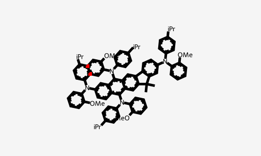 COc1ccccc1N(c1ccc(C(C)C)cc1)c1ccc2c(c1)C(C)(C)c1cc3c(N(c4ccc(C(C)C)cc4)c4ccccc4OC)c4ccc(N(c5ccc(C(C)C)cc5)c5ccccc5OC)cc4c(N(c4ccc(C(C)C)cc4)c4ccccc4OC)c3cc1-2